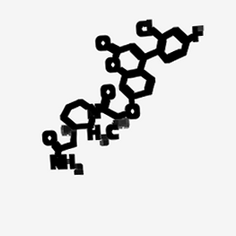 C[C@@H](Oc1ccc2c(-c3ccc(F)cc3Cl)cc(=O)oc2c1)C(=O)N1CCC[C@H](CC(N)=O)C1